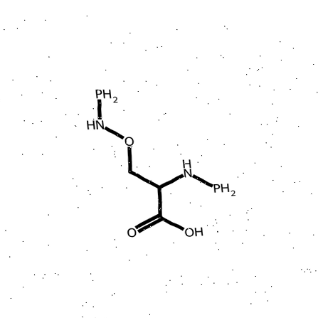 O=C(O)C(CONP)NP